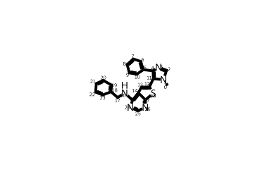 Cn1cnc(-c2ccccc2)c1-c1cc2c(NCc3ccccc3)ncnc2s1